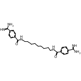 N=C(N)c1ccc(C(=O)NCCCCCCCCCNC(=O)c2ccc(C(=N)N)cc2)cc1